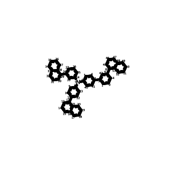 c1cc(-c2ccc(N(c3ccc(-c4cccc5ccccc45)cc3)c3cccc(-c4cccc5ccccc45)c3)cc2)cc(-c2cccc3ccccc23)c1